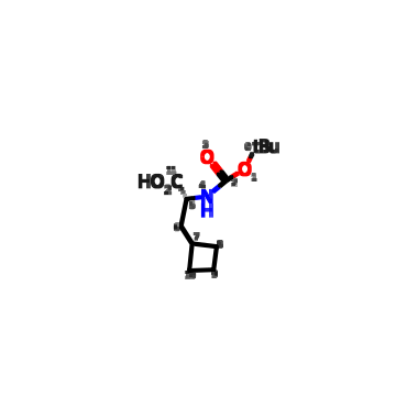 CC(C)(C)OC(=O)N[C@H](CC1CCC1)C(=O)O